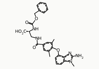 Cc1cc(C(=O)NC[C@H](NC(=O)OCc2ccccc2)C(=O)O)cc(C)c1Oc1cccc2c1nc(N)n2C